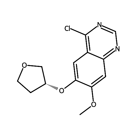 COc1cc2ncnc(Cl)c2cc1O[C@@H]1CCOC1